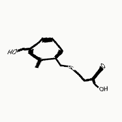 Cc1c(O)cccc1CSCC(=O)O